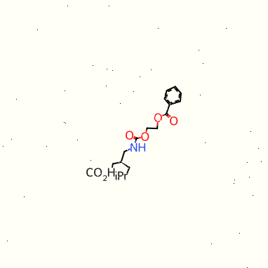 CC(C)C[C@H](CNC(=O)OCCOC(=O)c1ccccc1)CC(=O)O